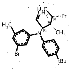 C=C[C@H]([C@@H](C)[C@H](C)C(C)C)N(c1ccc(C(C)(C)C)cc1)c1cc(C)cc(Br)c1